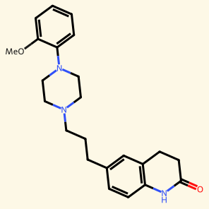 COc1ccccc1N1CCN(CCCc2ccc3c(c2)CCC(=O)N3)CC1